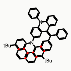 CC(C)(C)c1ccc(N(c2ccc3c(c2)C(=C(c2ccccc2)c2ccccc2)c2ccccc2N3c2ccccc2)c2ccc(C(C)(C)C)cc2-c2ccccc2)c(-c2ccccc2)c1